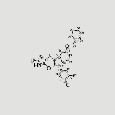 O=C1NC(=O)C(Cc2cn(-c3ccc(Cl)c(Cl)c3)c3ccc(OCc4ccccc4)cc23)S1